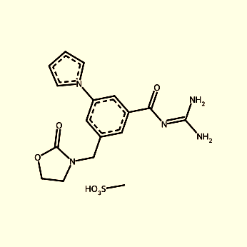 CS(=O)(=O)O.NC(N)=NC(=O)c1cc(CN2CCOC2=O)cc(-n2cccc2)c1